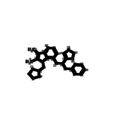 Cc1c(C)n(CC2OCCO2)c2c(OC(Cc3ccccc3)C3=COCO3)ccnc12